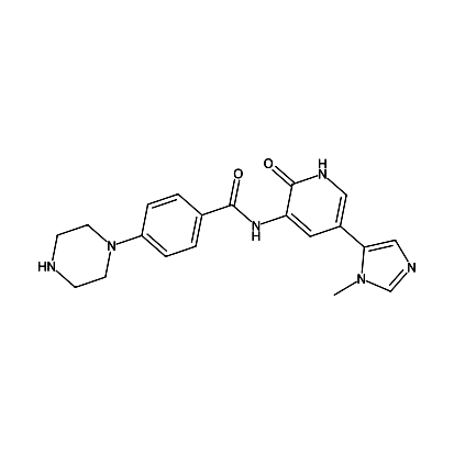 Cn1cncc1-c1c[nH]c(=O)c(NC(=O)c2ccc(N3CCNCC3)cc2)c1